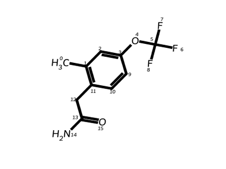 Cc1cc(OC(F)(F)F)ccc1CC(N)=O